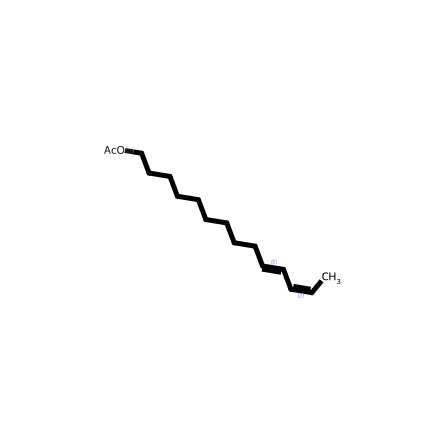 C/C=C\C=C\CCCCCCCCCOC(C)=O